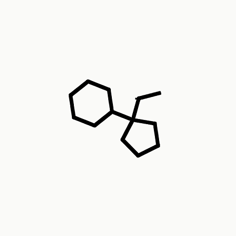 C[CH]C1(C2CCCCC2)CCCC1